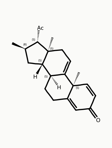 CC(=O)[C@H]1[C@H](C)C[C@H]2[C@@H]3CCC4=CC(=O)C=C[C@]4(C)C3=CC[C@@]21C